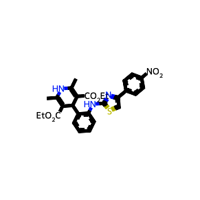 CCOC(=O)C1=C(C)NC(C)=C(C(=O)OCC)C1c1ccccc1Nc1nc(-c2ccc([N+](=O)[O-])cc2)cs1